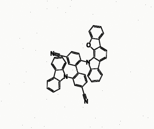 N#Cc1ccc(-n2c3ccccc3c3ccc4c5ccccc5oc4c32)c(-c2ccc(C#N)cc2-n2c3ccccc3c3ccccc32)c1